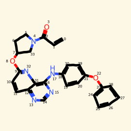 C=CC(=O)N1CCC(Oc2ccc3ncnc(Nc4ccc(Oc5ccccc5)cc4)c3n2)C1